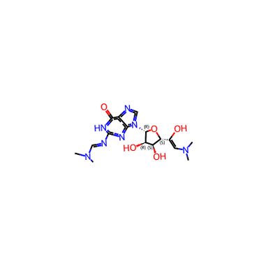 CN(C)C=Nc1nc2c(ncn2[C@@H]2O[C@H](C(O)=CN(C)C)[C@@H](O)[C@H]2O)c(=O)[nH]1